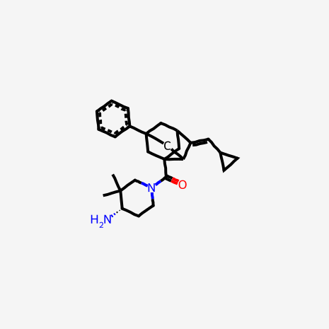 CC1(C)CN(C(=O)C23CC4CC(c5ccccc5)(CC2/C4=C\C2CC2)C3)CC[C@@H]1N